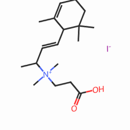 CC1=CCCC(C)(C)C1C=CC(C)[N+](C)(C)CCC(=O)O.[I-]